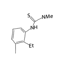 CCc1c(C)cccc1NC(=S)NC